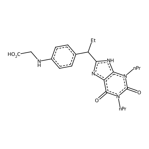 CCCn1c(=O)c2nc(C(CC)c3ccc(NCC(=O)O)cc3)[nH]c2n(CCC)c1=O